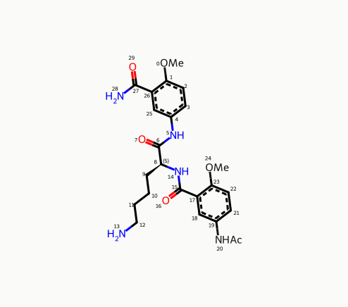 COc1ccc(NC(=O)[C@H](CCCCN)NC(=O)c2cc(NC(C)=O)ccc2OC)cc1C(N)=O